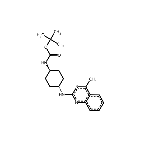 Cc1nc(N[C@H]2CC[C@H](NC(=O)OC(C)(C)C)CC2)nc2ccccc12